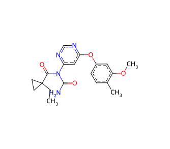 CCC1(C(=O)N(C(N)=O)c2cc(Oc3ccc(C)c(OC)c3)ncn2)CC1